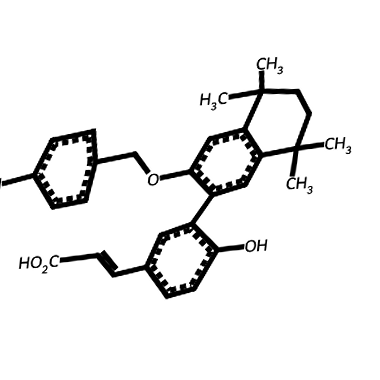 CC1(C)CCC(C)(C)c2cc(-c3cc(C=CC(=O)O)ccc3O)c(OCc3ccc(Cl)cc3)cc21